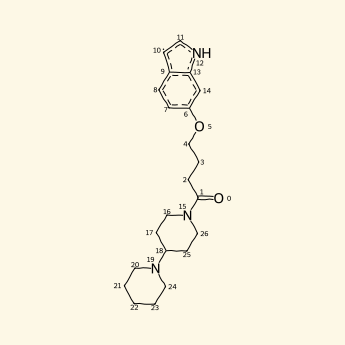 O=C(CCCOc1ccc2[c]c[nH]c2c1)N1CCC(N2CCCCC2)CC1